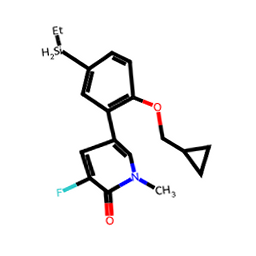 CC[SiH2]c1ccc(OCC2CC2)c(-c2cc(F)c(=O)n(C)c2)c1